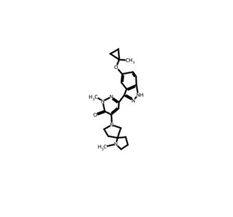 CN1CCCC12CCN(c1cc(-c3n[nH]c4ccc(OC5(C)CC5)cc34)nn(C)c1=O)C2